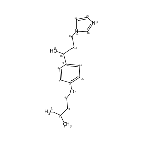 CC(C)CCOc1ccc(C(O)CCn2ccnc2)cc1